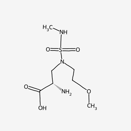 CNS(=O)(=O)N(CCOC)C[C@H](N)C(=O)O